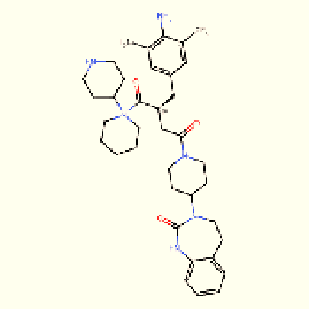 Nc1c(C(F)(F)F)cc(C[C@@H](CC(=O)N2CCC(N3CCc4ccccc4NC3=O)CC2)C(=O)[N+]2(C3CCNCC3)CCCCC2)cc1C(F)(F)F